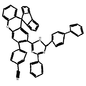 N#Cc1ccc(-c2cc3c(cc2C2=NC(c4ccccc4)=NC(c4ccc(-c5ccccc5)cc4)N2)C2(c4ccccc4O3)c3ccccc3-c3ccccc32)cc1